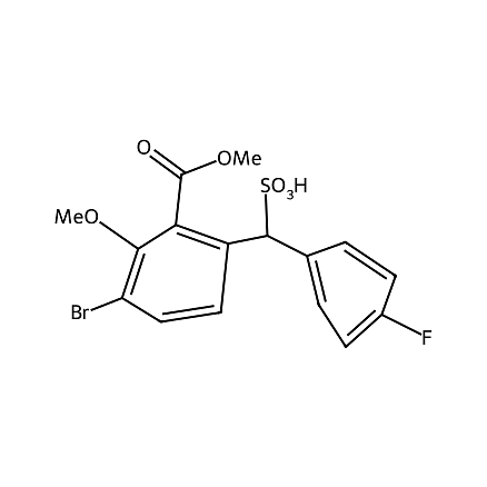 COC(=O)c1c(C(c2ccc(F)cc2)S(=O)(=O)O)ccc(Br)c1OC